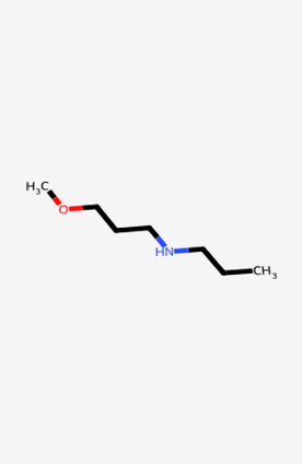 CCCNCCCOC